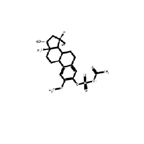 COc1cc2c(cc1OS(=O)(=O)NC(C)=O)CCC1C2CC[C@]2(C)[C@H](O)C[C@@H]3C[C@@]132